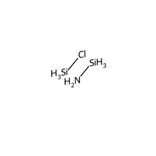 N[SiH3].[SiH3]Cl